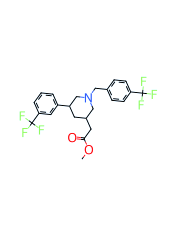 COC(=O)CC1CC(c2cccc(C(F)(F)F)c2)CN(Cc2ccc(C(F)(F)F)cc2)C1